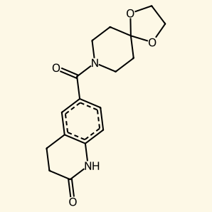 O=C1CCc2cc(C(=O)N3CCC4(CC3)OCCO4)ccc2N1